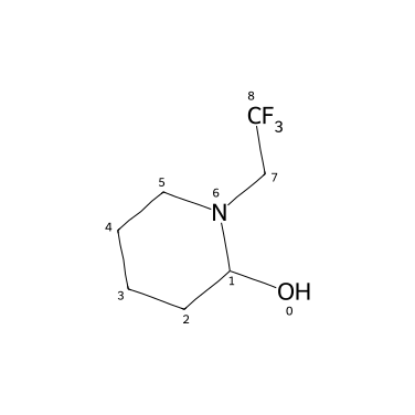 OC1CCCCN1CC(F)(F)F